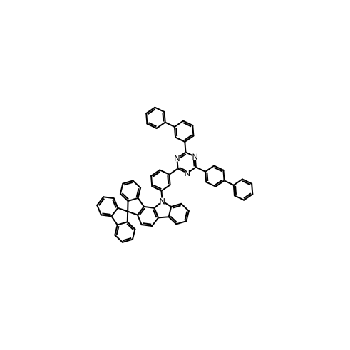 c1ccc(-c2ccc(-c3nc(-c4cccc(-c5ccccc5)c4)nc(-c4cccc(-n5c6ccccc6c6ccc7c(c65)-c5ccccc5C75c6ccccc6-c6ccccc65)c4)n3)cc2)cc1